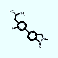 CN1Cc2cc(-c3ccc(C[C@H](N)C#N)c(F)c3)ccc2[S+]1[O-]